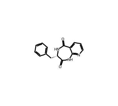 O=C1N[C@@H](Cc2ccccc2)C(=O)Nc2ncccc21